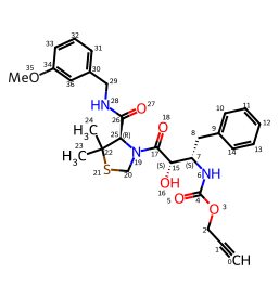 C#CCOC(=O)N[C@@H](Cc1ccccc1)[C@H](O)C(=O)N1CSC(C)(C)[C@H]1C(=O)NCc1cccc(OC)c1